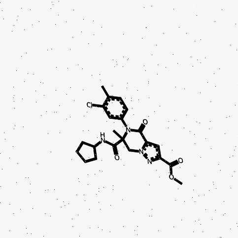 COC(=O)c1cc2n(n1)CC(C)(C(=O)NC1CCCC1)N(c1ccc(C)c(Cl)c1)C2=O